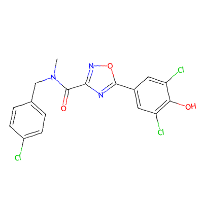 CN(Cc1ccc(Cl)cc1)C(=O)c1noc(-c2cc(Cl)c(O)c(Cl)c2)n1